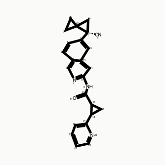 N#C[C@@]1(c2ccc3cnc(NC(=O)C4CC4c4ccccn4)cc3c2)CC12CC2